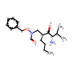 CCCC[C@@H](CN(C=O)OCc1ccccc1)C(=O)[C@@H](N)C(C)C